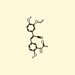 CCOc1cc(C(C#N)=Cc2ccc(OC)c(NC(C)=O)c2)ccc1OC